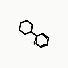 C1=CNC(C2CCCCC2)C=C1